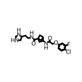 O=C(COc1ccc(Cl)c(F)c1)NC1CC2(C(=O)NCCC3CNCN3)CC1C2